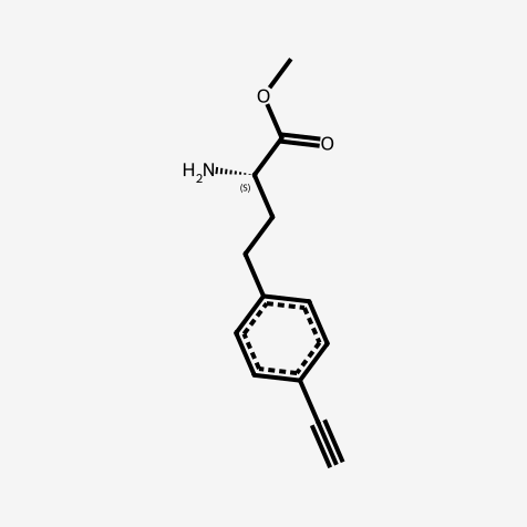 C#Cc1ccc(CC[C@H](N)C(=O)OC)cc1